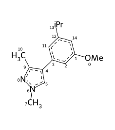 COc1cc(-c2cn(C)nc2C)cc(C(C)C)c1